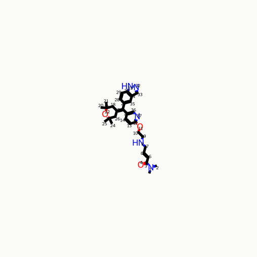 CN(C)C(=O)/C=C/CNCCOc1ccc(C(=C2CC(C)(C)OC(C)(C)C2)c2ccc3[nH]ncc3c2)cn1